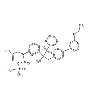 CCOc1cccc(-c2ccc(CC(N)(c3cccc(N(CC(=O)O)C(=O)OC(C)(C)C)n3)S(=O)(=O)c3ccccn3)cc2)c1